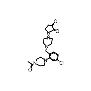 CC(=O)N1CCN(c2cc(Cl)ccc2CN2CCN(N3CCC(=O)C3=O)CC2)CC1